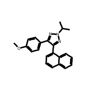 COc1ccc(-c2nn(C(C)C)nc2-c2cccc3ccccc23)cc1